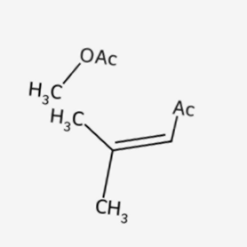 CC(=O)C=C(C)C.COC(C)=O